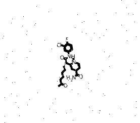 CC(=O)CCCCC[C@H](C(=O)Nc1ccc(F)c(Cl)c1)C1CC(C(N)=O)CCN1C